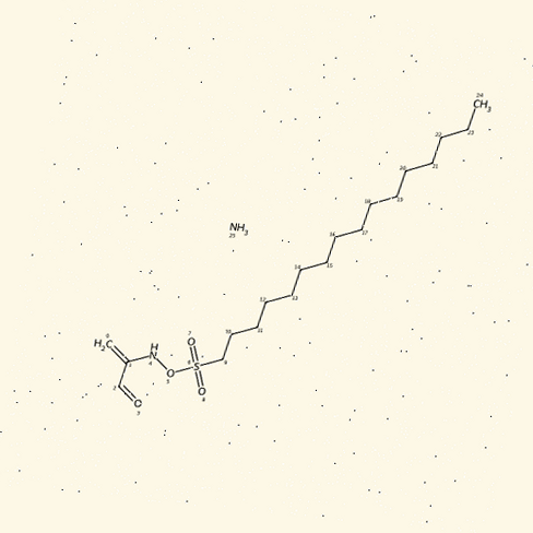 C=C(C=O)NOS(=O)(=O)CCCCCCCCCCCCCCCC.N